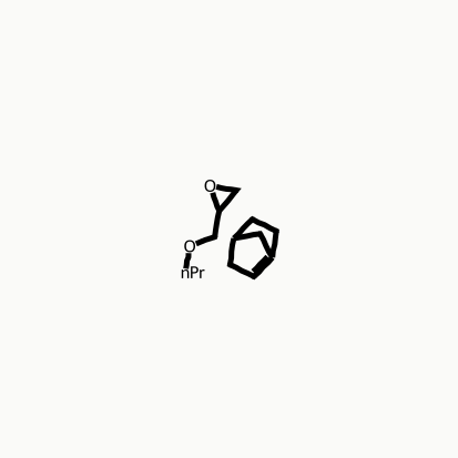 C1=C2CCC(C1)C2.CCCOCC1CO1